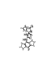 O=C(Nc1c2c(c(F)c3c1CCC3)CCC2)NS1(=O)=NC(=O)c2sccc21